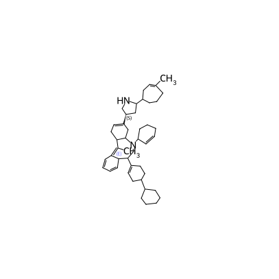 CC1=CCC(C2C[C@@H](C3=CCC4/C(C)=C5\C=CC=CC5C(C5=CCC(C6CCCCC6)CC5)CN(C5C=CCCC5)C4C3)CN2)CCC1